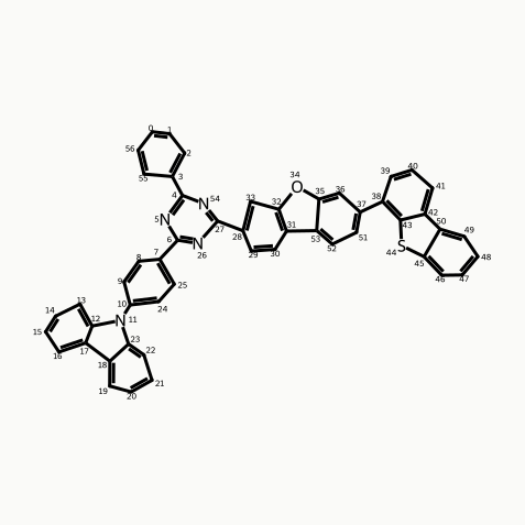 c1ccc(-c2nc(-c3ccc(-n4c5ccccc5c5ccccc54)cc3)nc(-c3ccc4c(c3)oc3cc(-c5cccc6c5sc5ccccc56)ccc34)n2)cc1